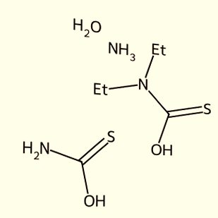 CCN(CC)C(O)=S.N.NC(O)=S.O